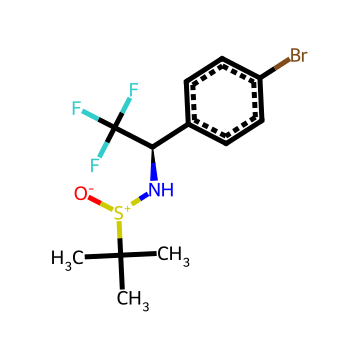 CC(C)(C)[S+]([O-])N[C@H](c1ccc(Br)cc1)C(F)(F)F